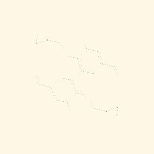 COc1cc(C=O)cc(-c2cc(C=O)cc(OS)c2OCC2CO2)c1OCC1CO1